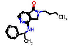 CCCCN1Cc2c(ccnc2N[C@@H](C)c2ccccc2)C1=O